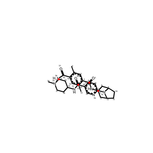 Cc1cc(C(=O)NC2CC3CCC(C2)N3c2ccc(C(=O)NC3CCN(C)CC3)cn2)c(C)cc1C(N)=O